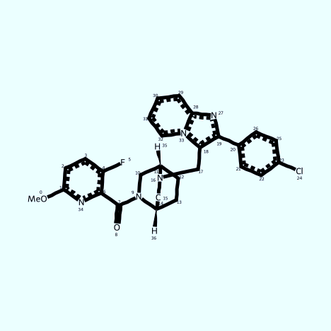 COc1ccc(F)c(C(=O)N2C[C@@H]3CC[C@H]2CN3Cc2c(-c3ccc(Cl)cc3)nc3ccccn23)n1